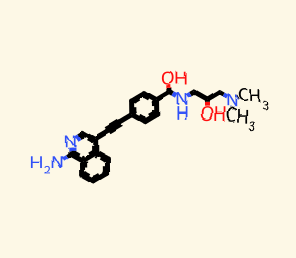 CN(C)CC(O)CNC(O)c1ccc(C#Cc2cnc(N)c3ccccc23)cc1